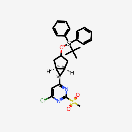 CC(C)(C)[Si](OC1C[C@@H]2[C@H](C1)[C@@H]2c1cc(Cl)nc(S(C)(=O)=O)n1)(c1ccccc1)c1ccccc1